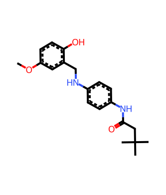 COc1ccc(O)c(CNc2ccc(NC(=O)CC(C)(C)C)cc2)c1